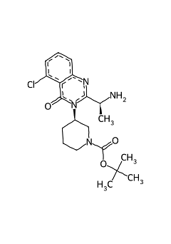 C[C@H](N)c1nc2cccc(Cl)c2c(=O)n1[C@@H]1CCCN(C(=O)OC(C)(C)C)C1